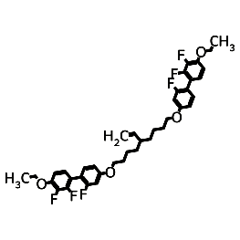 C=CC(CCCCOc1ccc(-c2ccc(OCC)c(F)c2F)c(F)c1)CCCCOc1ccc(-c2ccc(OCC)c(F)c2F)c(F)c1